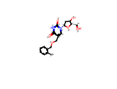 CC(C)c1ccccc1COCc1cn([C@@H]2CC(O)[C@H](CO)O2)c(=O)[nH]c1=O